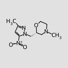 Cc1cc([N+](=O)[O-])n(C[C@H]2CN(C)CCO2)n1